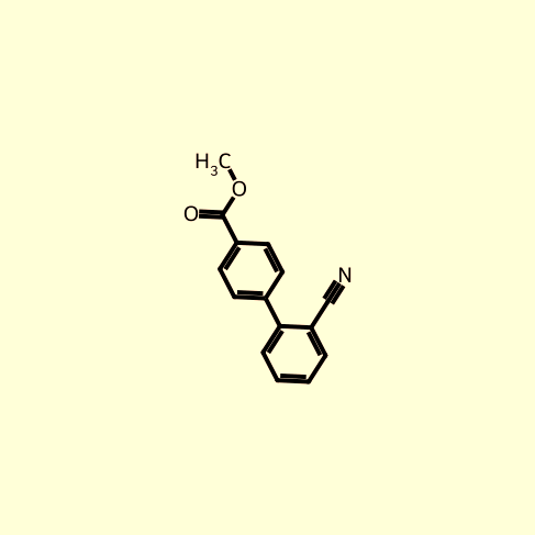 COC(=O)c1ccc(-c2ccccc2C#N)cc1